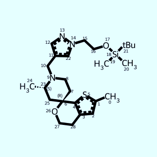 Cc1cc2c(s1)[C@]1(CCN(Cc3cnn(CCO[Si](C)(C)C(C)(C)C)c3)[C@@H](C)C1)OCC2